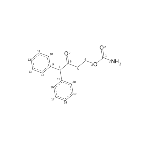 NC(=O)OCCC(=O)C(c1ccccc1)c1ccccc1